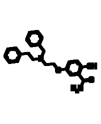 NC(=O)c1cc(OCCN(CCc2ccccc2)Cc2ccccc2)ccc1O